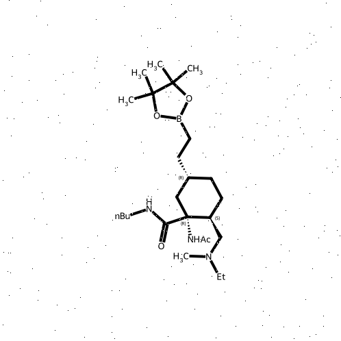 CCCCNC(=O)[C@@]1(NC(C)=O)C[C@H](CCB2OC(C)(C)C(C)(C)O2)CC[C@H]1CN(C)CC